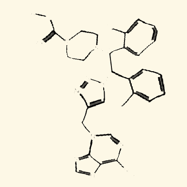 CC(C)(C)OC(=O)N1CCN([C@H](c2ccccc2Cl)[C@H](c2ccccc2Cl)n2cc(Cn3cnc(N)c4ncnc3-4)nn2)CC1